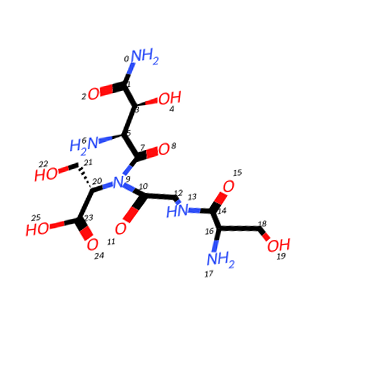 NC(=O)[C@@H](O)[C@H](N)C(=O)N(C(=O)CNC(=O)C(N)CO)[C@@H](CO)C(=O)O